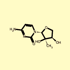 C[C@@]1(O)[C@H](O)CO[C@H]1n1ccc(N)nc1=O